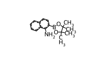 CC1(C)OB(c2ccc3ccccc3c2N)OC1(C)C